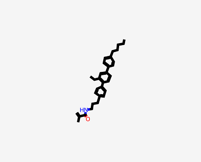 C=C(C)C(=O)NCCCc1ccc(-c2ccc(-c3ccc(CCCCC)cc3)cc2CC)cc1